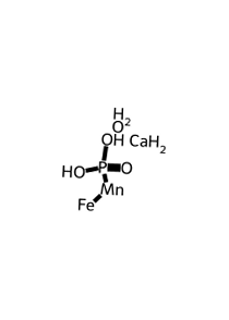 O.O=[P](O)(O)[Mn][Fe].[CaH2]